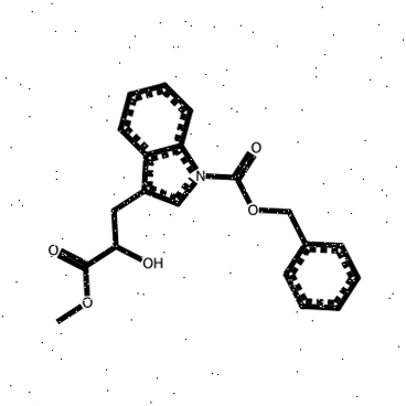 COC(=O)C(O)Cc1cn(C(=O)OCc2ccccc2)c2ccccc12